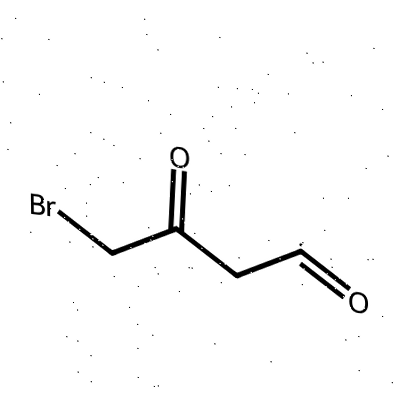 O=[C]CC(=O)CBr